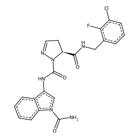 NC(=O)n1cc(NC(=O)N2N=CC[C@H]2C(=O)NCc2cccc(Cl)c2F)c2ccccc21